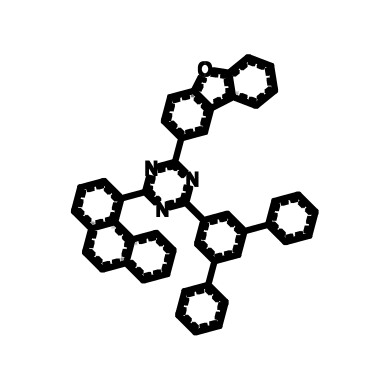 c1ccc(-c2cc(-c3ccccc3)cc(-c3nc(-c4ccc5oc6ccccc6c5c4)nc(-c4cccc5ccc6ccccc6c45)n3)c2)cc1